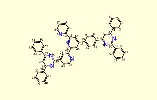 c1ccc(-c2cc(-c3ccc(-c4cc(-c5ccccn5)nc(-c5cc(-c6nc(-c7ccccc7)cc(-c7ccccc7)n6)ccn5)c4)cc3)nc(-c3ccccc3)n2)cc1